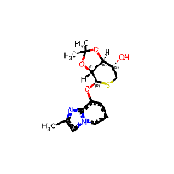 Cc1cn2cccc(O[C@@H]3SC[C@@H](O)[C@@H]4OC(C)(C)O[C@H]43)c2n1